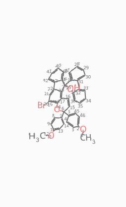 COc1ccc(C2(c3ccc(OC)cc3)C=Cc3c(c(Br)cc4c3C(O)(c3ccccc3-c3ccccc3)c3ccccc3-4)O2)cc1